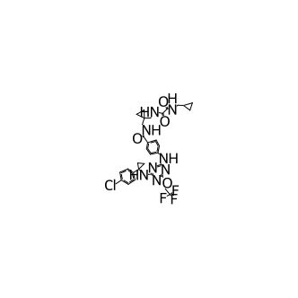 O=C(NCC1CC1)C(=O)NCC1(CNC(=O)c2ccc(Nc3nc(NC4(c5ccc(Cl)cc5)CC4)nc(OCC(F)(F)F)n3)cc2)CC1